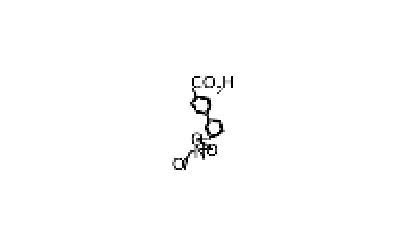 CN(CC1CO1)S(=O)(=O)c1cccc(-c2ccc(CC(=O)O)cc2)c1